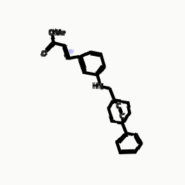 COC(=O)/C=C/c1cccc(NCC23CCC(c4ccccc4)(CC2)CC3)c1